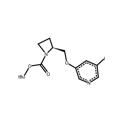 CC(C)(C)OC(=O)N1CC[C@H]1COc1cncc(I)c1